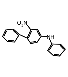 O=[N+]([O-])c1cc(Nc2ccccc2)ccc1-c1ccccc1